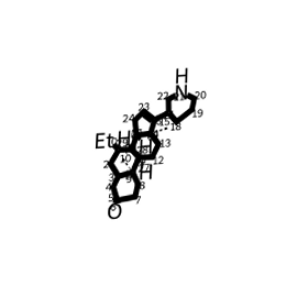 CCC1CC2CC(=O)CC[C@]2(C)[C@@H]2CC[C@]3(C)C(C4CCCNC4)=CC[C@H]3[C@H]12